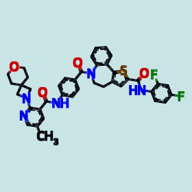 Cc1cnc(N2CC3(CCOCC3)C2)c(C(=O)Nc2ccc(C(=O)N3CCc4cc(C(=O)Nc5ccc(F)cc5F)sc4-c4ccccc43)cc2)c1